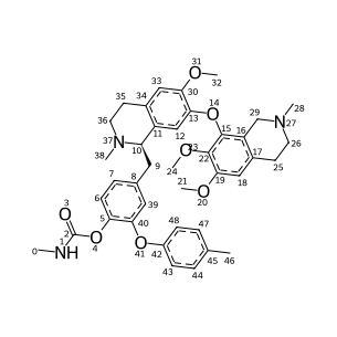 CNC(=O)Oc1ccc(C[C@@H]2c3cc(Oc4c5c(cc(OC)c4OC)CCN(C)C5)c(OC)cc3CCN2C)cc1Oc1ccc(C)cc1